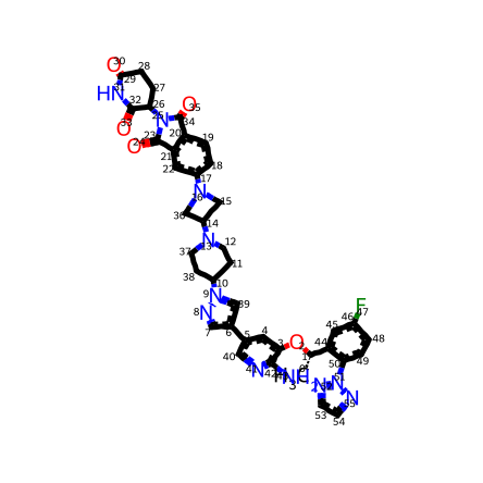 C[C@H](Oc1cc(-c2cnn(C3CCN(C4CN(c5ccc6c(c5)C(=O)N(C5CCC(=O)NC5=O)C6=O)C4)CC3)c2)cnc1N)c1cc(F)ccc1-n1nccn1